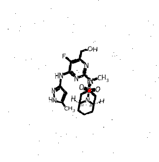 CCS(=O)(=O)N1[C@@H]2CCC[C@H]1C[C@@H](N(C)c1nc(CO)c(F)c(Nc3cc(C)[nH]n3)n1)C2